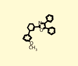 COc1cccc(C2C=C(c3nc(-c4ccccc4)c(-c4ccccc4)o3)CCC2)c1